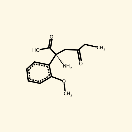 CCC(=O)C[C@](N)(C(=O)O)c1ccccc1OC